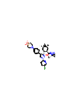 N#CC1(NC(=O)[C@@H]2C[C@@H]3C[C@@H]3C[C@H]2c2nn(-c3ccc(F)cn3)cc2-c2ccc(N3CCS(=O)(=O)CC3)cc2)CC1